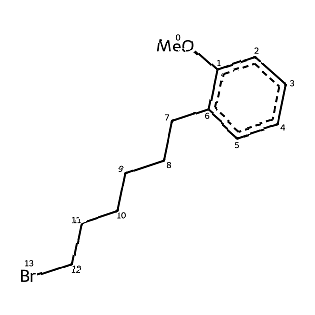 COc1ccccc1CCCCCCBr